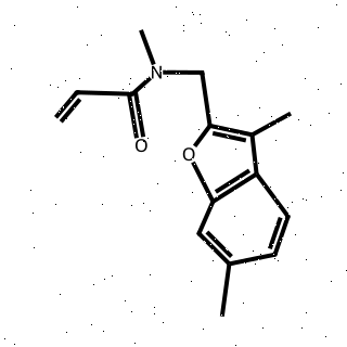 C=CC(=O)N(C)Cc1oc2cc(C)ccc2c1C